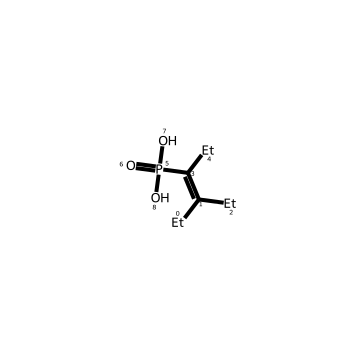 CCC(CC)=C(CC)P(=O)(O)O